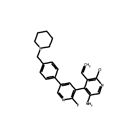 C=Cc1c(Cl)ncc(N)c1-c1cc(-c2ccc(CN3CCCCC3)cc2)cnc1F